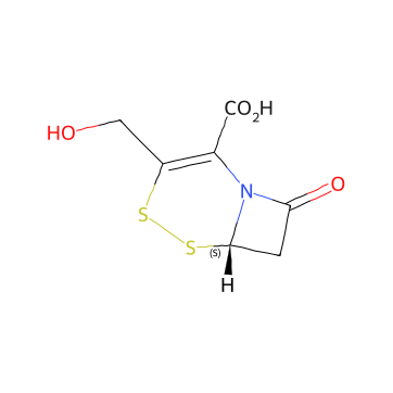 O=C(O)C1=C(CO)SS[C@H]2CC(=O)N12